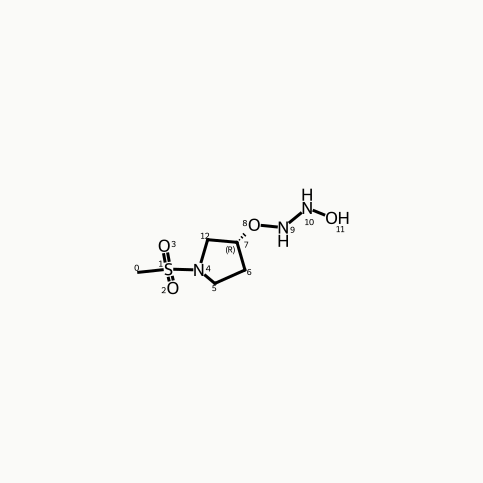 CS(=O)(=O)N1CC[C@@H](ONNO)C1